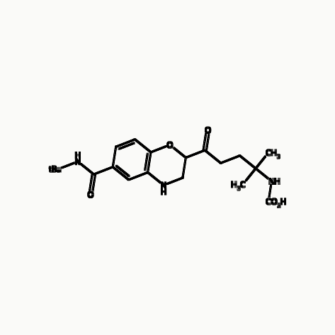 CC(C)(C)NC(=O)c1ccc2c(c1)NCC(C(=O)CCC(C)(C)NC(=O)O)O2